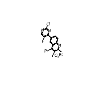 CCOC(=O)c1c(C)nc2ccc(-c3nc(Cl)ncc3F)cc2c1C(C)C